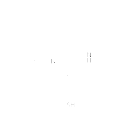 SC1CCCN(Cc2ccc[nH]2)C1